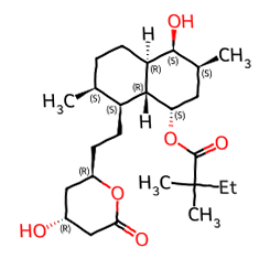 CCC(C)(C)C(=O)O[C@H]1C[C@H](C)[C@H](O)[C@@H]2CC[C@H](C)[C@H](CC[C@@H]3C[C@@H](O)CC(=O)O3)[C@H]21